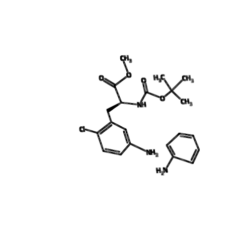 COC(=O)[C@H](Cc1cc(N)ccc1Cl)NC(=O)OC(C)(C)C.Nc1ccccc1